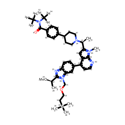 [2H]C([2H])([2H])N(C(=O)c1ccc(C2CCN([C@@H](C)c3cc4c(-c5ccc6nc([C@@H](C)OC)n(COCC[Si](C)(C)C)c6c5)ccnc4n3C)CC2)cc1)C([2H])([2H])[2H]